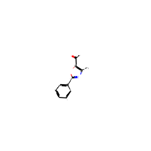 CC(=O)c1oc(-c2ccccc2)nc1C